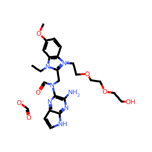 CCn1c(CN(C=O)c2nc3cc[nH]c3nc2N)[n+](CCOCCOCCO)c2ccc(OC)cc21.O=C[O-]